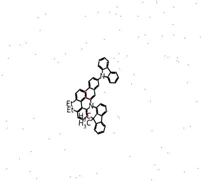 CCc1ccccc1-c1c(CC)cccc1N(c1ccc2ccc(-n3c4ccccc4c4ccccc43)cc2c1)c1cccc2c1C(C)(C)c1ccccc1-2